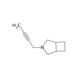 CC#CCN1CC2CCC2C1